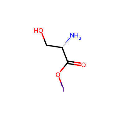 N[C@@H](CO)C(=O)OI